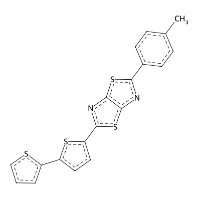 Cc1ccc(-c2nc3sc(-c4ccc(-c5cccs5)s4)nc3s2)cc1